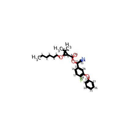 CCCCCCOC1C(C(=O)OC(C#N)c2ccc(F)c(Oc3ccccc3)c2)C1(C)C